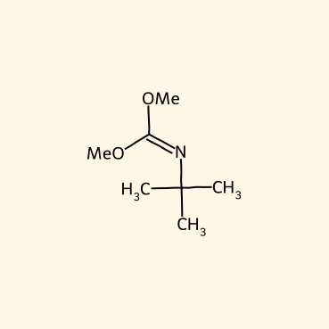 COC(=NC(C)(C)C)OC